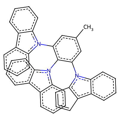 Cc1cc(-n2c3c(c4ccccc42)C=C=C3)c(-n2c3ccccc3c3ccccc32)c(-n2c3ccccc3c3ccccc32)c1